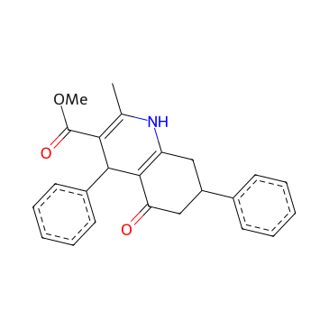 COC(=O)C1=C(C)NC2=C(C(=O)CC(c3ccccc3)C2)C1c1ccccc1